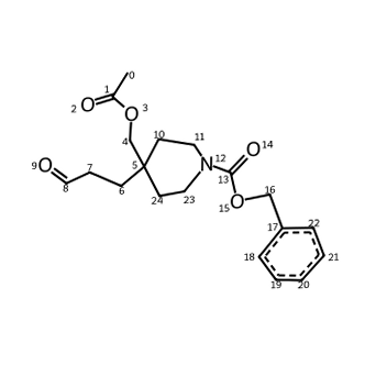 CC(=O)OCC1(CCC=O)CCN(C(=O)OCc2ccccc2)CC1